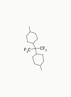 CC1CCC(C(C2CCC(C)CC2)(C(F)(F)F)C(F)(F)F)CC1